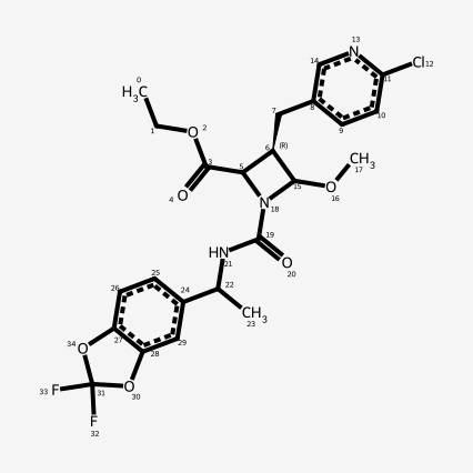 CCOC(=O)C1[C@@H](Cc2ccc(Cl)nc2)C(OC)N1C(=O)NC(C)c1ccc2c(c1)OC(F)(F)O2